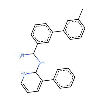 Cc1cccc(-c2cccc(C(N)NC3NC=CC=C3c3ccccc3)c2)c1